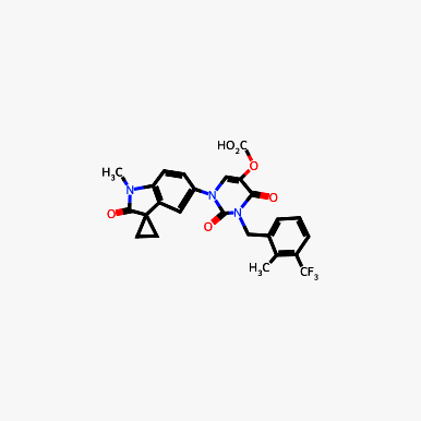 Cc1c(Cn2c(=O)c(OC(=O)O)cn(-c3ccc4c(c3)C3(CC3)C(=O)N4C)c2=O)cccc1C(F)(F)F